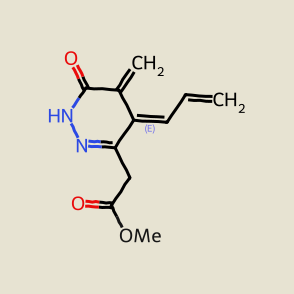 C=C/C=c1/c(CC(=O)OC)n[nH]c(=O)c1=C